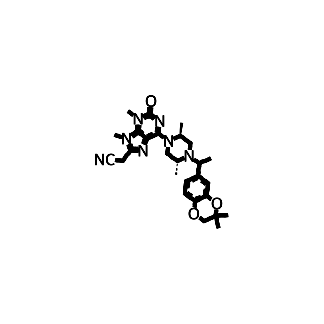 CC(c1ccc2c(c1)OC(C)(C)CO2)N1C[C@H](C)N(c2nc(=O)n(C)c3c2nc(CC#N)n3C)C[C@H]1C